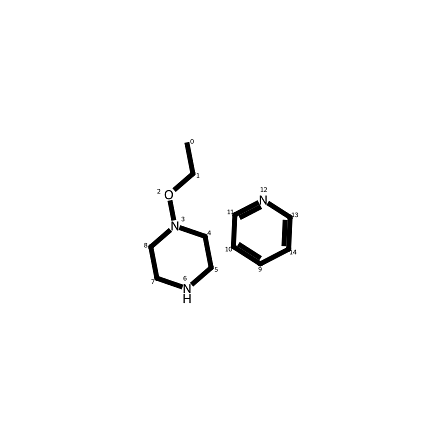 CCON1CCNCC1.c1ccncc1